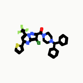 O=C(c1nn2c(C(F)(F)F)cc(-c3cccs3)nc2c1Cl)N1CCN(C(c2ccccc2)c2ccccc2)CC1